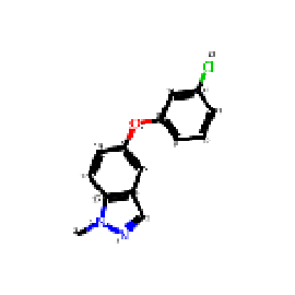 Cn1ncc2cc(Oc3cccc(Cl)c3)ccc21